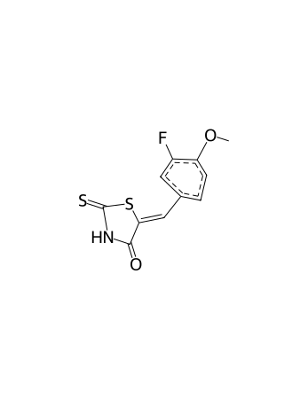 COc1ccc(/C=C2\SC(=S)NC2=O)cc1F